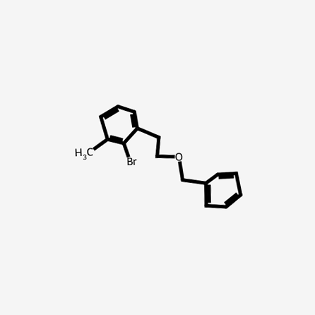 Cc1cccc(CCOCc2ccccc2)c1Br